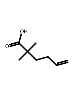 C=CCCC(C)(C)C(=O)O